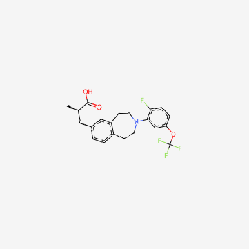 C[C@H](Cc1ccc2c(c1)CCN(c1cc(OC(F)(F)F)ccc1F)CC2)C(=O)O